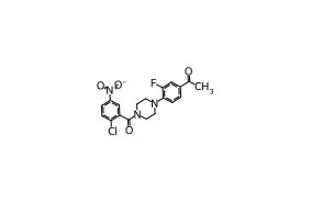 CC(=O)c1ccc(N2CCN(C(=O)c3cc([N+](=O)[O-])ccc3Cl)CC2)c(F)c1